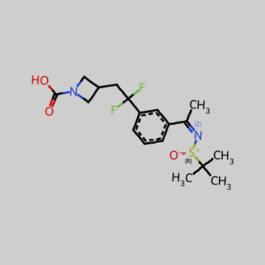 C/C(=N/[S@@+]([O-])C(C)(C)C)c1cccc(C(F)(F)CC2CN(C(=O)O)C2)c1